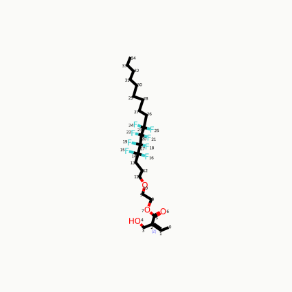 C/C=C(/CO)C(=O)OCCOCCCC(F)(F)C(F)(F)C(F)(F)C(F)(F)CCCCCCCCC